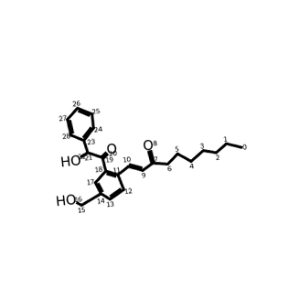 CCCCCCCC(=O)C=Cc1ccc(CO)cc1C(=O)C(O)c1ccccc1